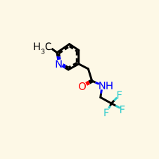 Cc1ccc(CC(=O)NCC(F)(F)F)cn1